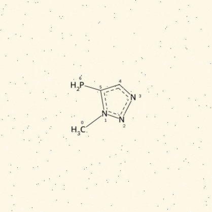 Cn1nncc1P